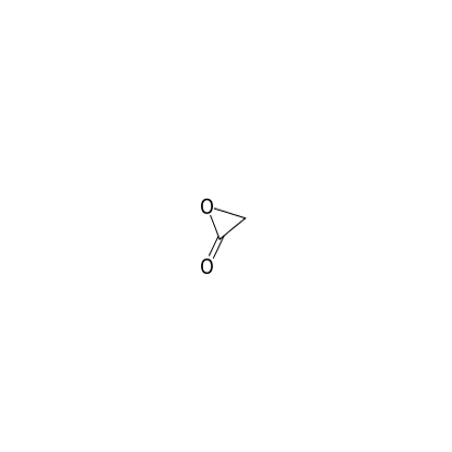 O=C1CO1